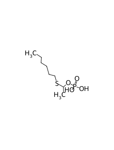 CCCCCCSC(C)OP(=O)(O)O